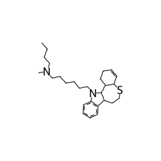 CCCCN(C)CCCCCCN1c2ccccc2C2CCSC3C=CCCC3C21